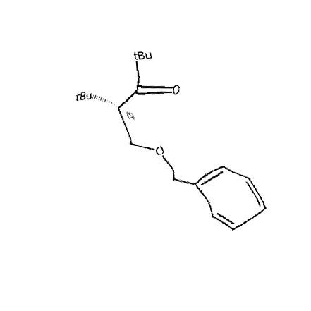 CC(C)(C)C(=O)[C@H](COCc1ccccc1)C(C)(C)C